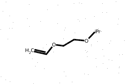 C=COCCO[C](C)C